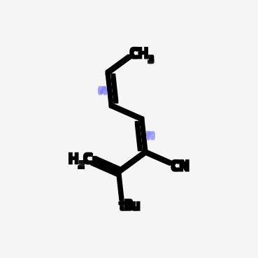 C=C(/C(C#N)=C\C=C/C)C(C)(C)C